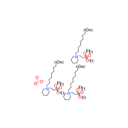 CCCCCCCCCCCCCCCCCC[N+]1(CC[Si](OCC)(OCC)OCC)CCCCC1.CCCCCCCCCCCCCCCCCC[N+]1(CC[Si](OCC)(OCC)OCC)CCCCC1.CCCCCCCCCCCCCCCCCC[N+]1(CC[Si](OCC)(OCC)OCC)CCCCC1.[O-]B([O-])[O-]